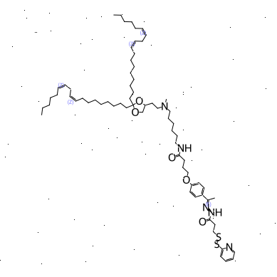 CCCCC/C=C\C/C=C\CCCCCCCCC1(CCCCCCCC/C=C\C/C=C\CCCCC)OCC(CCN(C)CCCCCCNC(=O)CCCOc2ccc(/C(C)=N/NC(=O)CCSSc3ccccn3)cc2)O1